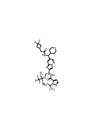 CC(C)n1nccc1C(=O)N[C@@H](COC(C)(C)C(F)(F)F)c1cn2ncc(C(NC(=O)CC3CC(F)(F)C3)C3CCOCC3)cc2n1